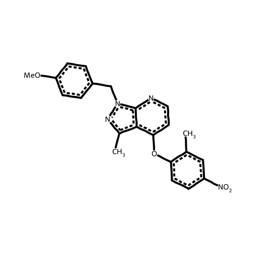 COc1ccc(Cn2nc(C)c3c(Oc4ccc([N+](=O)[O-])cc4C)ccnc32)cc1